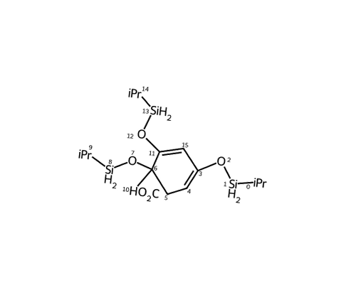 CC(C)[SiH2]OC1=CCC(O[SiH2]C(C)C)(C(=O)O)C(O[SiH2]C(C)C)=C1